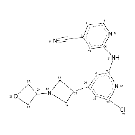 N#Cc1ccnc(Nc2cc(C3CN(C4COC4)C3)cc(Cl)n2)c1